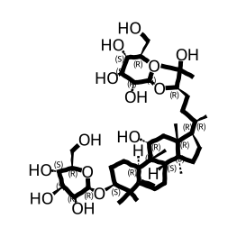 C[C@H](CC[C@@H](O[C@@H]1O[C@H](CO)[C@@H](O)[C@H](O)[C@H]1O)C(C)(C)O)[C@H]1CC[C@@]2(C)[C@@H]3CC=C4[C@@H](CC[C@H](O[C@@H]5O[C@H](CO)[C@@H](O)[C@H](O)[C@H]5O)C4(C)C)[C@]3(C)[C@H](O)C[C@]12C